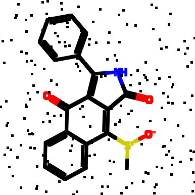 C[S+]([O-])C1=C2C(=O)NC(c3ccccc3)=C2C(=O)c2ccccc21